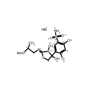 Br.COC(C)CN=C1SCC(O)(c2cc(S(N)(=O)=O)c(Cl)cc2Cl)N1C